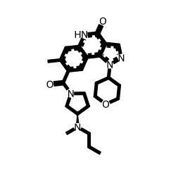 CCCN(C)[C@@H]1CCN(C(=O)c2cc3c(cc2C)[nH]c(=O)c2cnn(C4CCOCC4)c23)C1